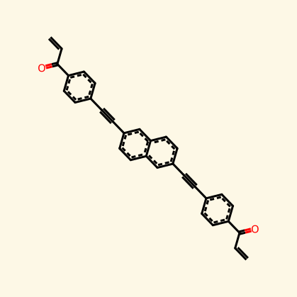 C=CC(=O)c1ccc(C#Cc2ccc3cc(C#Cc4ccc(C(=O)C=C)cc4)ccc3c2)cc1